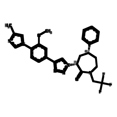 COc1cc(-c2cn([C@@H]3C[C@H](c4ccccc4)CCN(CC(F)(F)F)C3=O)nn2)ccc1-n1cnc(C)c1